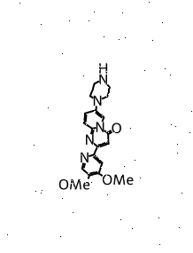 COc1cnc(-c2cc(=O)n3cc(N4CCNCC4)ccc3n2)cc1OC